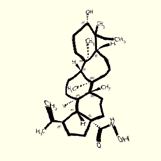 C=C(C)[C@@H]1CC[C@]2(C(=O)NO)CC[C@]3(C)[C@H](CC[C@@H]4[C@@]5(C)CC[C@H](O)C(C)(C)[C@@H]5CC[C@]43C)[C@@H]12